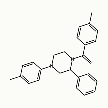 C=C(c1ccc(C)cc1)N1CCN(c2ccc(C)cc2)CC1c1ccccc1